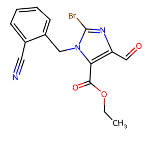 CCOC(=O)c1c(C=O)nc(Br)n1Cc1ccccc1C#N